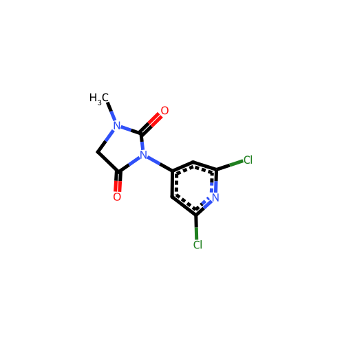 CN1CC(=O)N(c2cc(Cl)nc(Cl)c2)C1=O